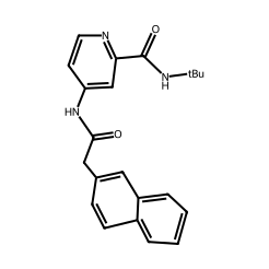 CC(C)(C)NC(=O)c1cc(NC(=O)Cc2ccc3ccccc3c2)ccn1